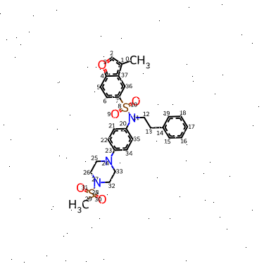 Cc1coc2ccc(S(=O)(=O)N(CCc3ccccc3)c3ccc(N4CCN(S(C)(=O)=O)CC4)cc3)cc12